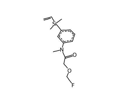 C=C[Si](C)(C)c1cccc(N(C)C(=O)COCF)c1